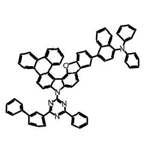 c1ccc(-c2cccc(-c3nc(-c4ccccc4)nc(-n4c5ccc6c7cc(-c8ccc(N(c9ccccc9)c9ccccc9)c9ccccc89)ccc7oc6c5c5c6c7ccccc7c7ccccc7c6ccc54)n3)c2)cc1